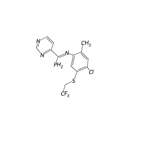 Cc1cc(Cl)c(SCC(F)(F)F)cc1/N=C(\P)c1ccncn1